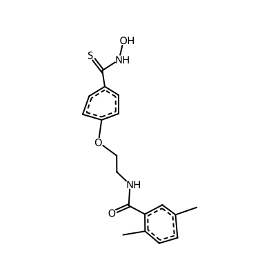 Cc1ccc(C)c(C(=O)NCCOc2ccc(C(=S)NO)cc2)c1